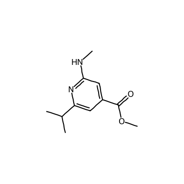 CNc1cc(C(=O)OC)cc(C(C)C)n1